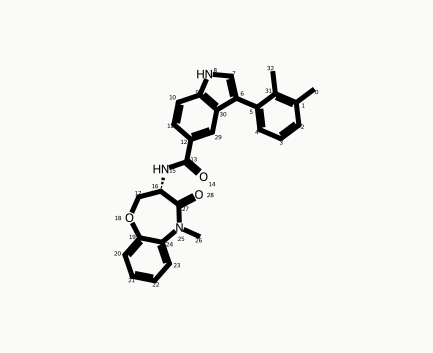 Cc1cccc(-c2c[nH]c3ccc(C(=O)N[C@H]4COc5ccccc5N(C)C4=O)cc23)c1C